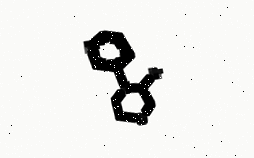 BrC1COCCN1c1cccnc1